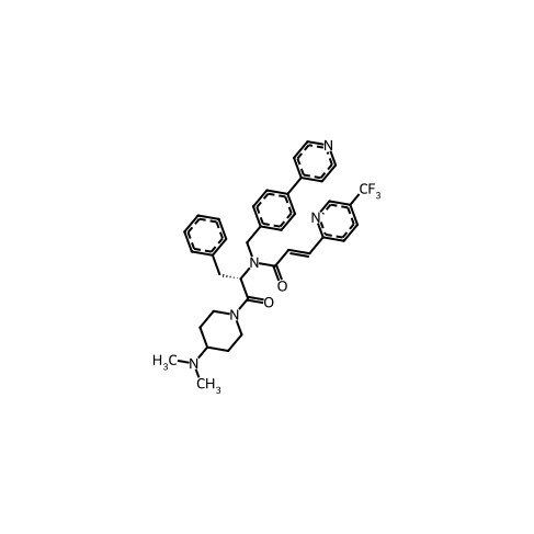 CN(C)C1CCN(C(=O)[C@H](Cc2ccccc2)N(Cc2ccc(-c3ccncc3)cc2)C(=O)/C=C/c2ccc(C(F)(F)F)cn2)CC1